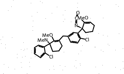 CN[C@]1(c2ccccc2Cl)CCCC(Cc2ccc(Cl)c([C@@]3(N=C=O)CCCC=C3OC)c2)=C1OC